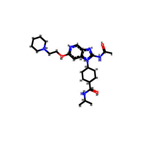 CC(=O)Nc1nc2cnc(OCCN3CCCCC3)cc2n1C1CCC(C(=O)NC(C)C)CC1